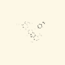 O=[N+]([O-])c1ccc(OC[C@H]2O[C@@H](O[C@H]3O[C@H](CO)[C@@H](O)[C@H](O)[C@H]3O)[C@H](O)[C@@H](O)[C@H]2O[C@@H]2[C@H](O)[C@@H](O)CO[C@@H]2CO)cc1